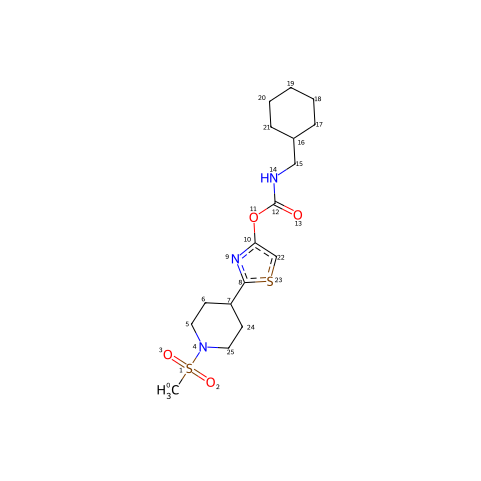 CS(=O)(=O)N1CCC(c2nc(OC(=O)NCC3CCCCC3)cs2)CC1